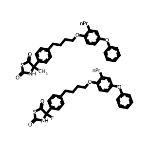 CCCc1cc(Oc2ccccc2)ccc1OCCCCc1ccc(C2(C)NC(=O)SC2=O)cc1.CCCc1cc(Oc2ccccc2)ccc1OCCCCc1ccc(C2(F)NC(=O)SC2=O)cc1